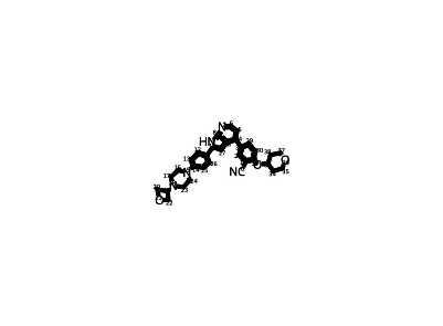 N#Cc1cc(-c2ccnc3[nH]c(-c4ccc(N5CCN(C6COC6)CC5)cc4)cc23)ccc1OC1CCOCC1